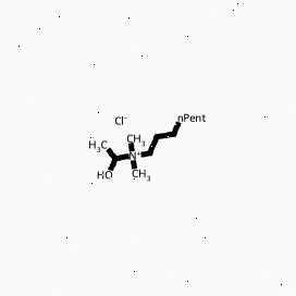 CCCCCCCC[N+](C)(C)C(C)O.[Cl-]